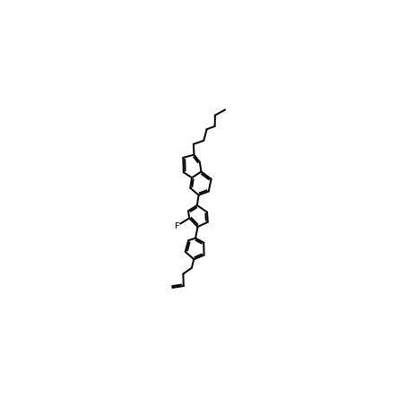 C=CCCc1ccc(-c2ccc(-c3ccc4cc(CCCCCC)ccc4c3)cc2F)cc1